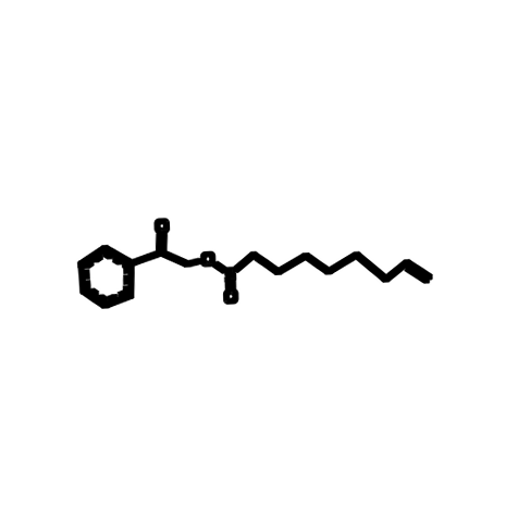 C=CCCCCCCS(=O)OCC(=O)c1ccccc1